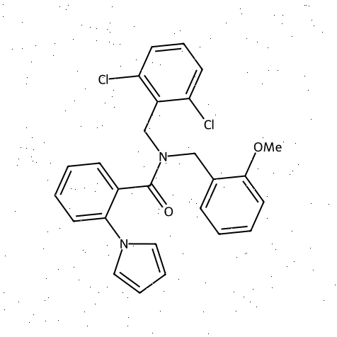 COc1ccccc1CN(Cc1c(Cl)cccc1Cl)C(=O)c1ccccc1-n1cccc1